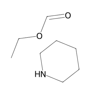 C1CCNCC1.CCOC=O